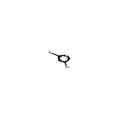 Oc1csc(Br)c1